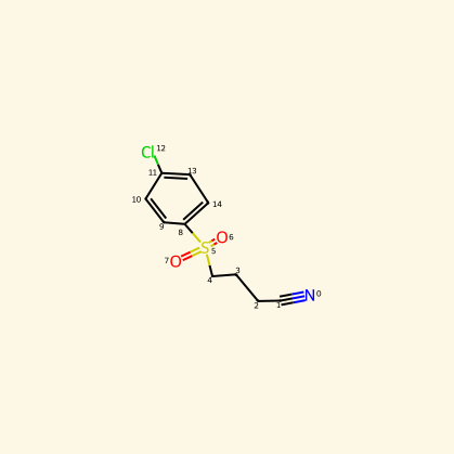 N#CCCCS(=O)(=O)c1ccc(Cl)cc1